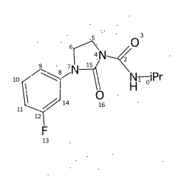 CC(C)NC(=O)N1CCN(c2cccc(F)c2)C1=O